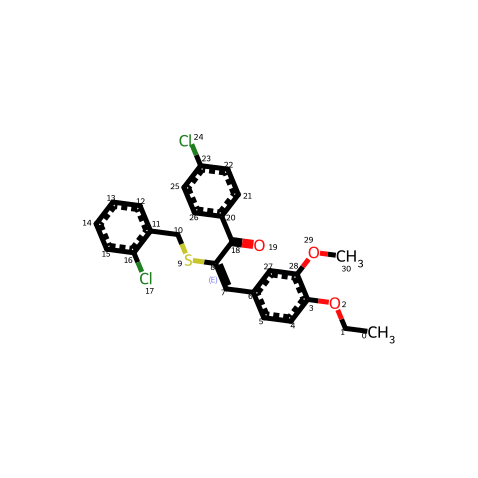 CCOc1ccc(/C=C(/SCc2ccccc2Cl)C(=O)c2ccc(Cl)cc2)cc1OC